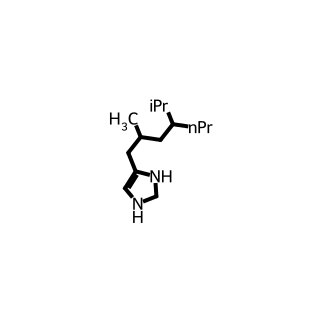 CCCC(CC(C)CC1=CNCN1)C(C)C